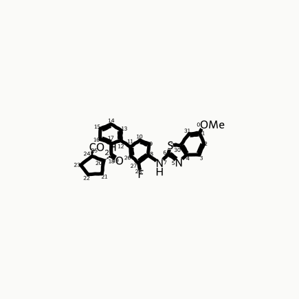 COc1ccc2nc(Nc3ccc(-c4ccccc4C(=O)[C@@H]4CCC[C@H]4C(=O)O)cc3F)sc2c1